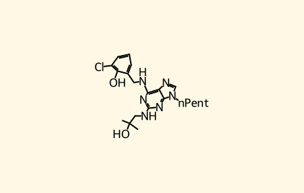 CCCCCn1cnc2c(NCc3cccc(Cl)c3O)nc(NCC(C)(C)O)nc21